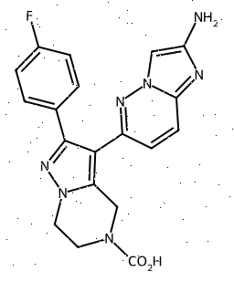 Nc1cn2nc(-c3c(-c4ccc(F)cc4)nn4c3CN(C(=O)O)CC4)ccc2n1